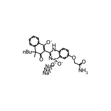 CCCCC1(C)C(=O)C(C2=NS([O-])([O-])c3cc(OCC(N)=O)ccc3N2)=C([O-])c2ccccc21.[Na+].[Na+].[Na+]